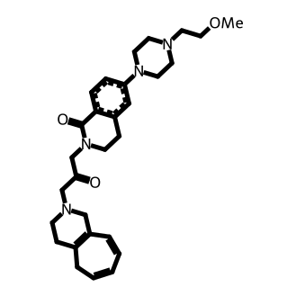 COCCN1CCN(c2ccc3c(c2)CCN(CC(=O)CN2CCC4=C(C=CC=CC4)C2)C3=O)CC1